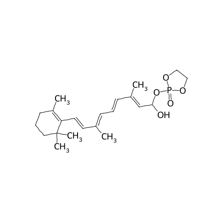 CC(C=CC1=C(C)CCCC1(C)C)=CC=CC(C)=CC(O)OP1(=O)OCCO1